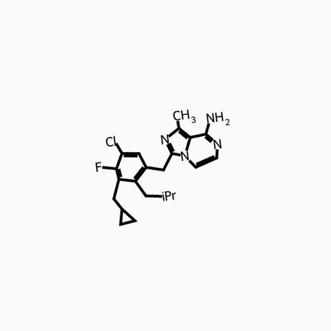 Cc1nc(Cc2cc(Cl)c(F)c(CC3CC3)c2CC(C)C)n2ccnc(N)c12